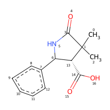 CC1(C)C(=O)NC(c2ccccc2)[C@H]1C(=O)O